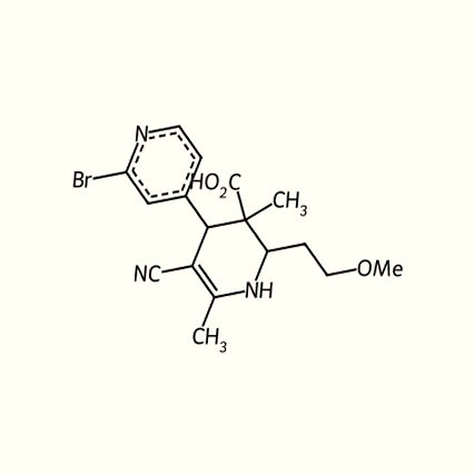 COCCC1NC(C)=C(C#N)C(c2ccnc(Br)c2)C1(C)C(=O)O